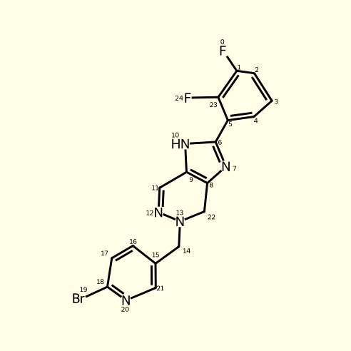 Fc1cccc(-c2nc3c([nH]2)C=NN(Cc2ccc(Br)nc2)C3)c1F